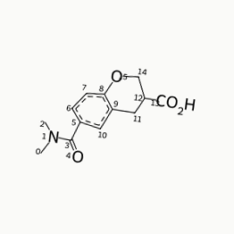 CN(C)C(=O)c1ccc2c(c1)CC(C(=O)O)CO2